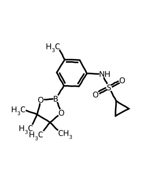 Cc1cc(NS(=O)(=O)C2CC2)cc(B2OC(C)(C)C(C)(C)O2)c1